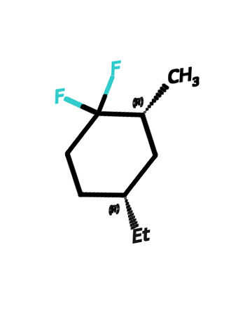 CC[C@@H]1CCC(F)(F)[C@H](C)C1